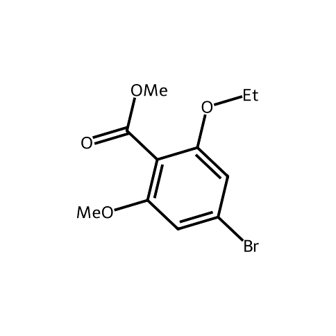 CCOc1cc(Br)cc(OC)c1C(=O)OC